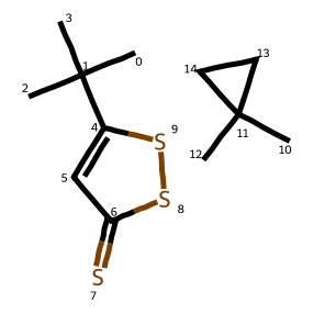 CC(C)(C)c1cc(=S)ss1.CC1(C)CC1